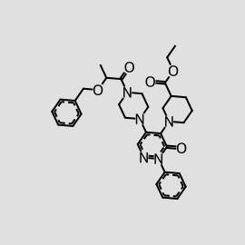 CCOC(=O)C1CCCN(c2c(N3CCN(C(=O)C(C)OCc4ccccc4)CC3)cnn(-c3ccccc3)c2=O)C1